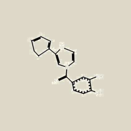 O=C(c1ccc(O)c(Cl)c1)N1C=COC(C2=CC=CCC2)=C1